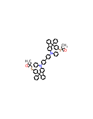 CCC1(CSc2ccc(C3(c4ccccc4)c4ccccc4-c4ccc(N(c5ccccc5)c5ccc(-c6ccc(N(c7ccccc7)c7ccc8c(c7)C(c7ccccc7)(c7ccc(SC9(CC)COC9)cc7)c7ccccc7-8)cc6)cc5)cc43)cc2)COC1